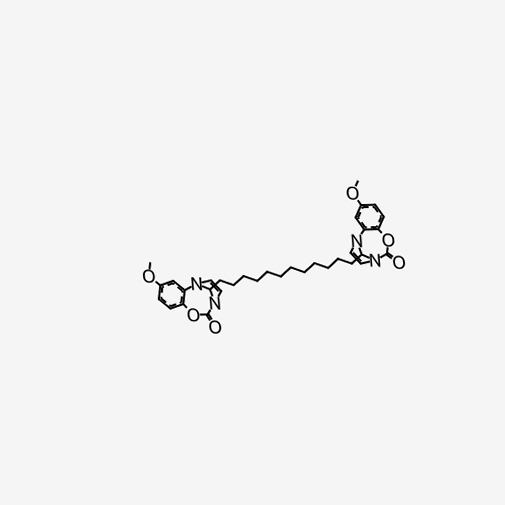 COc1ccc2c(c1)N1C=CN(C(=O)O2)C1CCCCCCCCCCCCC1N2C=CN1c1cc(OC)ccc1OC2=O